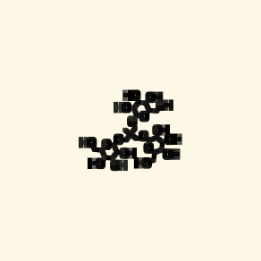 CC(COC1OC(CO)C(O)C(O)C1O)(COC1OC(CO)C(O)C(O)C1O)COC1OC(CO)C(O)C(O)C1O